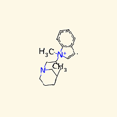 CC1C2CCCN1CC([N+]1(C)C=[C]c3ccccc31)C2